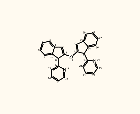 C1=[C]([Zr][C]2=Cc3ccccc3C2c2ccccn2)C(c2ccccn2)c2ccccc21